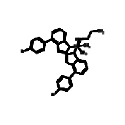 CCC[SiH]=[Hf]([CH3])([CH3])([CH]1C=Cc2c(-c3ccc(Br)cc3)cccc21)[CH]1C=Cc2c(-c3ccc(Br)cc3)cccc21